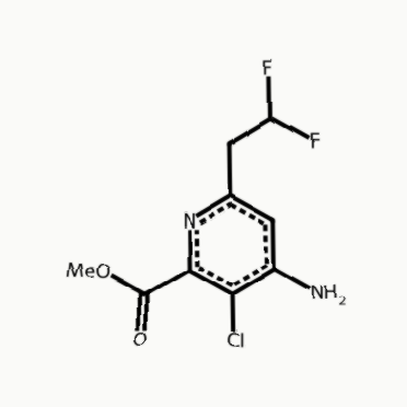 COC(=O)c1nc(CC(F)F)cc(N)c1Cl